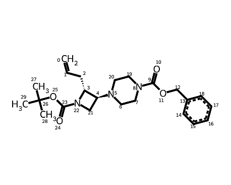 C=CC[C@@H]1[C@@H](N2CCN(C(=O)OCc3ccccc3)CC2)CN1C(=O)OC(C)(C)C